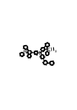 CC1(c2ccccc2)c2ccccc2-c2ccc(N(c3ccc(-c4cccc(-c5ccccc5)c4)cc3)c3ccc(-c4cc5c6ccccc6n(-c6ccccc6)c5c5ccccc45)cc3)cc21